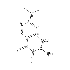 C=C(C(=O)OC(C)(C)C)c1cnc(N(C)C)cc1C(=O)O